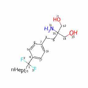 CCCCCCCC(F)(F)c1ccc(CCC(N)(CO)CO)cc1